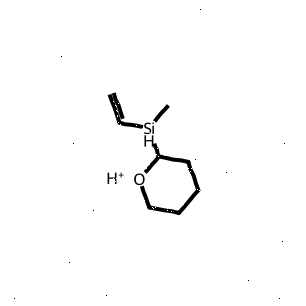 C=C[SiH](C)C1CCCCO1.[H+]